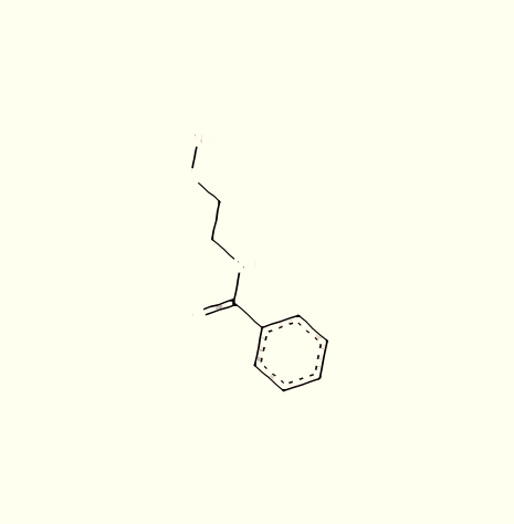 O=C(NCCO[N+](=O)[O-])c1cc[c]cc1